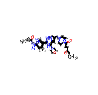 C=CC(=O)CCC(=O)N1CCN(Cc2cc3c(N4CCOCC4)nc(-c4cnc(NC(=O)OC)cc4C(F)(F)F)nn3c2)CC1